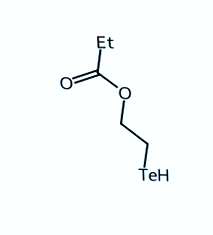 CCC(=O)OCC[TeH]